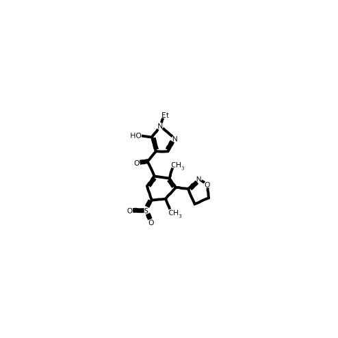 CCn1ncc(C(=O)C2=CC(=S(=O)=O)C(C)C(C3=NOCC3)=C2C)c1O